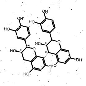 Oc1cc(O)c2c(c1)OC(c1ccc(O)c(O)c1)[C@H](O)[C@H]2c1c(O)cc(O)c2c1O[C@H](c1ccc(O)c(O)c1)[C@H](O)C2